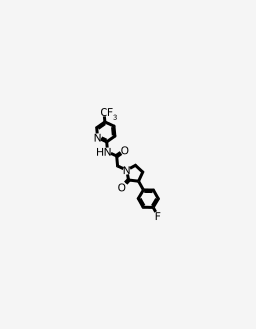 O=C(CN1CCC(c2ccc(F)cc2)C1=O)Nc1ccc(C(F)(F)F)cn1